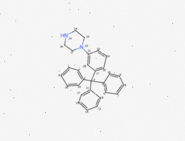 c1ccc(C(c2ccccc2)(c2ccccc2)c2cccc(N3CCNCC3)c2)cc1